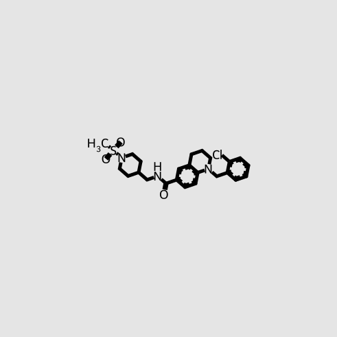 CS(=O)(=O)N1CCC(CNC(=O)c2ccc3c(c2)CCCN3Cc2ccccc2Cl)CC1